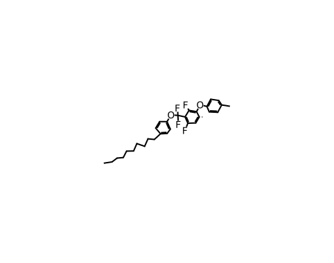 CCCCCCCCCCc1ccc(OC(F)(F)c2c(F)c[c]c(Oc3ccc(C)cc3)c2F)cc1